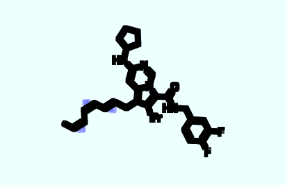 C\C=C/C=C\C=C\Cc1c(C(C)C)c(C(=O)NCc2ccc(F)c(F)c2)n2cnc(NC3CCCC3)cc12